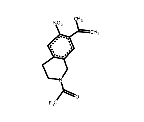 C=C(C)c1cc2c(cc1[N+](=O)[O-])CCN(C(=O)C(F)(F)F)C2